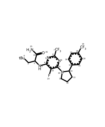 CC(C)(C)CC(Nc1nc(C(F)(F)F)nc(N2CCCC2c2ccc(C(F)(F)F)cc2)c1F)C(N)=O